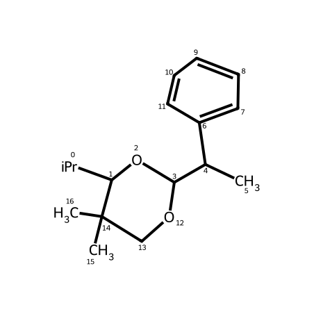 CC(C)C1OC(C(C)c2ccccc2)OCC1(C)C